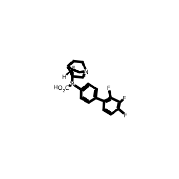 O=C(O)N(c1ccc(-c2ccc(F)c(F)c2F)cc1)[C@H]1CN2CCC1CC2